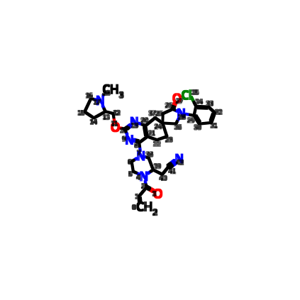 C=CC(=O)N1CCN(c2nc(OCC3CCCN3C)nc3c2CCC2(CC(=O)N(c4ccccc4Cl)C2)C3)CC1CC#N